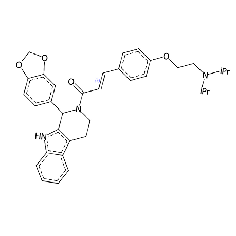 CC(C)N(CCOc1ccc(/C=C/C(=O)N2CCc3c([nH]c4ccccc34)C2c2ccc3c(c2)OCO3)cc1)C(C)C